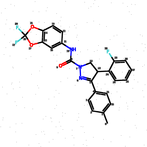 Cc1ccc(C2=NN(C(=O)Nc3ccc4c(c3)OC(F)(F)O4)CC2c2ccccc2F)cc1